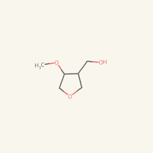 COC1COCC1CO